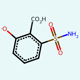 NS(=O)(=O)c1cccc([O])c1C(=O)O